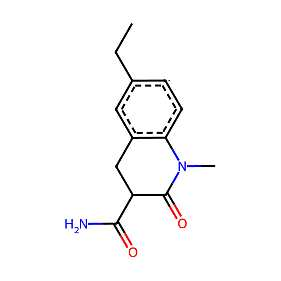 CCc1[c]cc2c(c1)CC(C(N)=O)C(=O)N2C